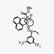 CC(C)(C)OC(=O)[C@@H]1C[C@@]2(c3ccccc3)[C@H](O[C@@H](CI)c3cc(C(F)(F)F)cc(C(F)(F)F)c3)CC[C@@H]1N2Cc1ccccc1